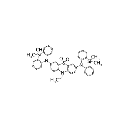 CCN1c2ccc(N3c4ccccc4[Si](C)(C)c4ccccc43)cc2S(=O)(=O)c2cc(N3c4ccccc4[Si](C)(C)c4ccccc43)ccc21